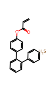 C=CC(=O)Oc1ccc(-c2ccccc2-c2ccccc2)cc1.S